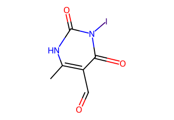 Cc1[nH]c(=O)n(I)c(=O)c1C=O